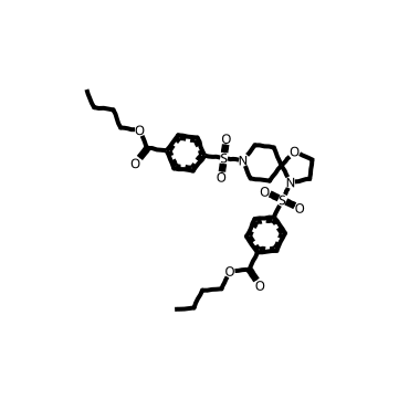 CCCCOC(=O)c1ccc(S(=O)(=O)N2CCC3(CC2)OCCN3S(=O)(=O)c2ccc(C(=O)OCCCC)cc2)cc1